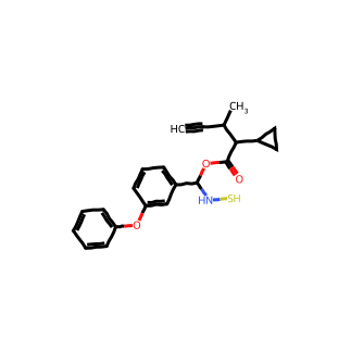 C#CC(C)C(C(=O)OC(NS)c1cccc(Oc2ccccc2)c1)C1CC1